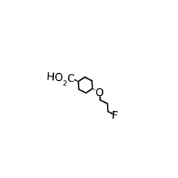 O=C(O)[C@H]1CC[C@H](OCCCF)CC1